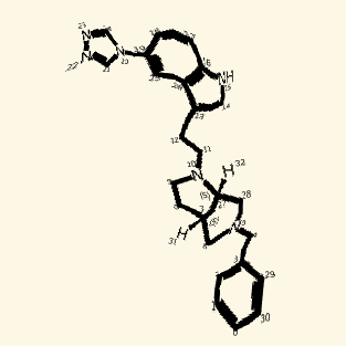 c1ccc(CN2C[C@@H]3CCN(CCc4c[nH]c5ccc(-n6cnnc6)cc45)[C@@H]3C2)cc1